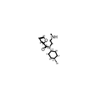 CNCCN(C(=O)c1ccco1)[C@H]1CC[C@H](C)CC1